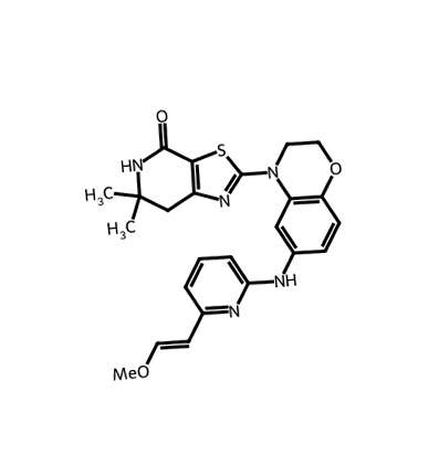 COC=Cc1cccc(Nc2ccc3c(c2)N(c2nc4c(s2)C(=O)NC(C)(C)C4)CCO3)n1